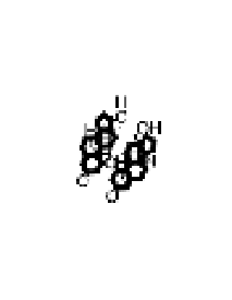 C[C@]12CC[C@H]3[C@@H](CCC4=CC(=O)CC(OC5CC(=O)C=C6CC[C@H]7[C@@H]8CC[C@H](O)[C@@]8(C)CC[C@@H]7[C@]65C)[C@@]43C)[C@@H]1CC[C@@H]2O